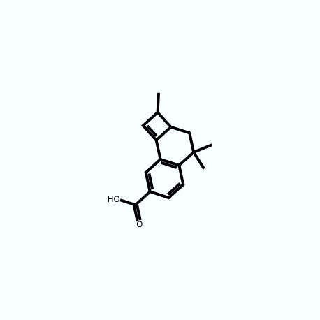 CC1C=C2c3cc(C(=O)O)ccc3C(C)(C)CC21